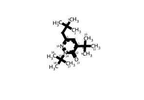 CC(C)(C)Cc1cc(C(C)(C)C)c(=O)n(C(C)(C)C)n1